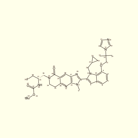 Cn1c(-c2cc3cccc(OCC(C)(C)n4ccnc4)c3n2CC2CC2)nc2cc3c(nc21)CCN(C[C@@H](CF)NC(=O)OC(C)(C)C)C3=O